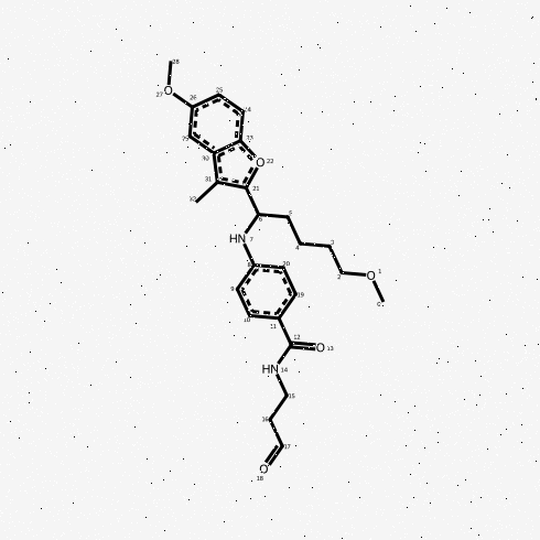 COCCCCC(Nc1ccc(C(=O)NCCC=O)cc1)c1oc2ccc(OC)cc2c1C